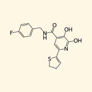 O=C(NCc1ccc(F)cc1)c1cc(C2=CCCS2)nc(O)c1O